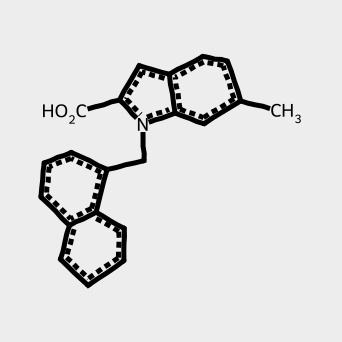 Cc1ccc2cc(C(=O)O)n(Cc3cccc4ccccc34)c2c1